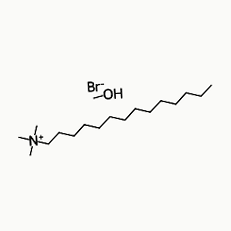 CCCCCCCCCCCCCC[N+](C)(C)C.CO.[Br-]